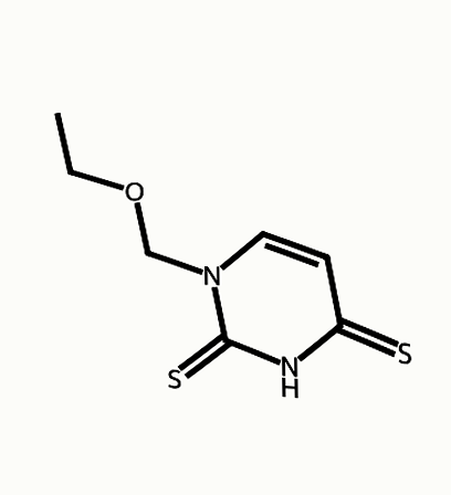 CCOCn1ccc(=S)[nH]c1=S